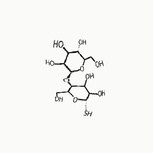 OCC1O[C@@H](O[C@@H]2C(CO)O[C@@H](S)C(O)C2O)C(O)C(O)[C@@H]1O